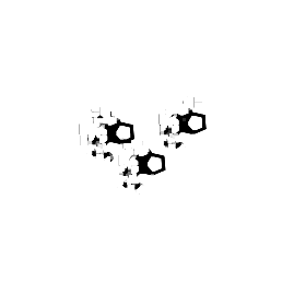 CC12CCC(C(S(=O)(=O)[O-])C1=O)C2(C)C.CC12CCC(C(S(=O)(=O)[O-])C1=O)C2(C)C.CC12CCC(C(S(=O)(=O)[O-])C1=O)C2(C)C.[Fe+3]